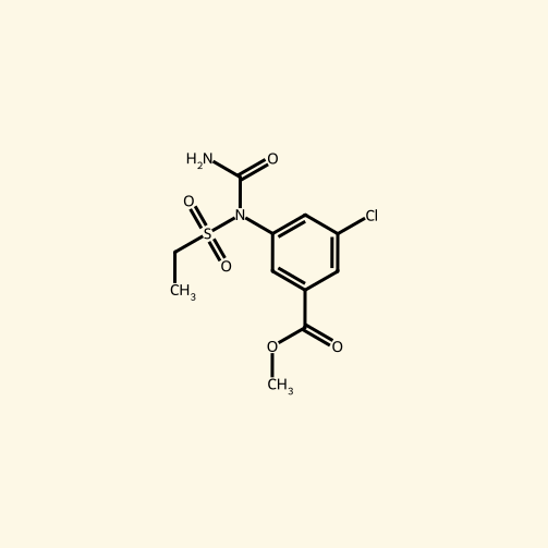 CCS(=O)(=O)N(C(N)=O)c1cc(Cl)cc(C(=O)OC)c1